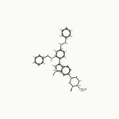 C[C@H]1CN(c2ccc3c(-c4ccc(OCc5ccccc5)nc4OCc4ccccc4)nn(C)c3c2)CCN1C(=O)O